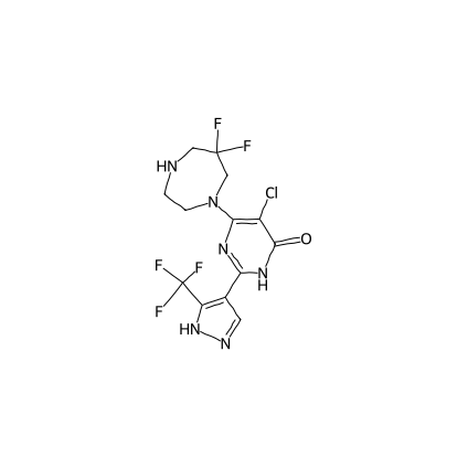 O=c1[nH]c(-c2cn[nH]c2C(F)(F)F)nc(N2CCNCC(F)(F)C2)c1Cl